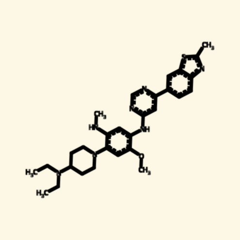 CCN(CC)C1CCN(c2cc(OC)c(Nc3cc(-c4ccc5nc(C)sc5c4)ncn3)cc2NC)CC1